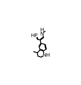 CN/C=C(\C=P)c1ccc2c(c1)C(C)CCN2